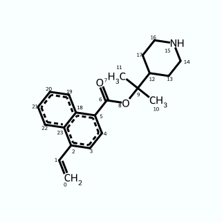 C=Cc1ccc(C(=O)OC(C)(C)C2CCNCC2)c2ccccc12